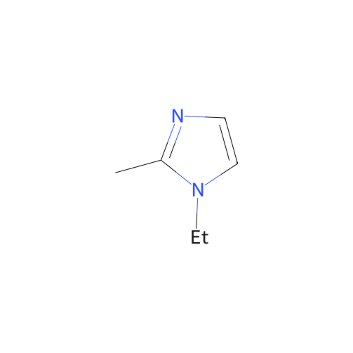 CCn1ccnc1C